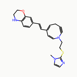 Cn1ccnc1SCCN1C#CC/C=C(/C=C/c2ccc3c(c2)OCCN3)\C=C/1